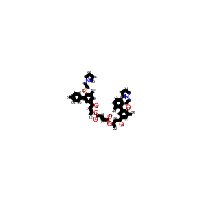 Cc1ccc(-c2cc(C(=O)CC(C)OC(=O)/C=C/C(=O)OC(C)CC(=O)c3cc(C)c(OCCN4CCCC4)c(-c4ccccc4C)c3)cc(C)c2OCCN2CCCC2)cc1